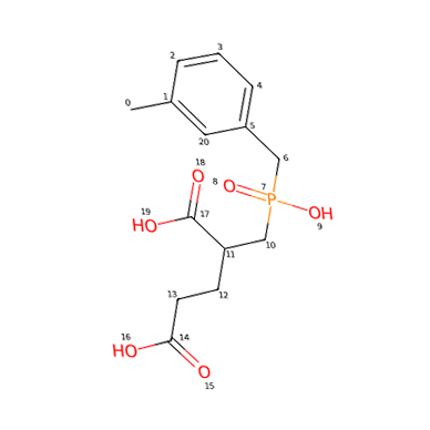 Cc1cccc(CP(=O)(O)CC(CCC(=O)O)C(=O)O)c1